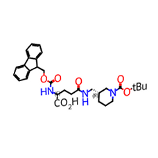 CC(C)(C)OC(=O)N1CCC[C@H](CNC(=O)CC[C@H](NC(=O)OCC2c3ccccc3-c3ccccc32)C(=O)O)C1